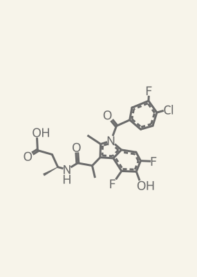 Cc1c(C(C)C(=O)N[C@@H](C)CC(=O)O)c2c(F)c(O)c(F)cc2n1C(=O)c1ccc(Cl)c(F)c1